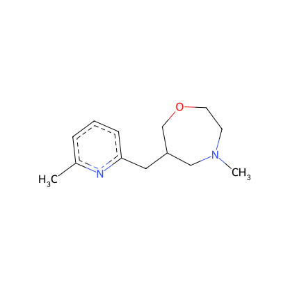 Cc1cccc(CC2COCCN(C)C2)n1